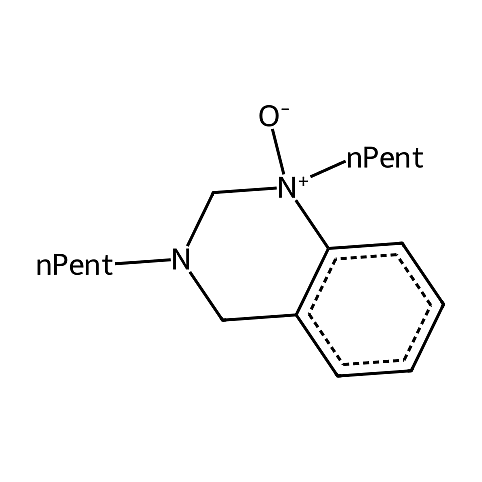 CCCCCN1Cc2ccccc2[N+]([O-])(CCCCC)C1